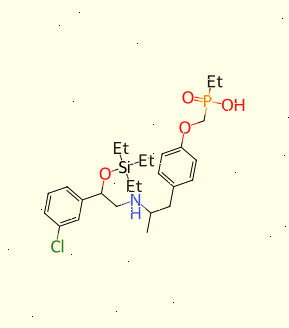 CC[Si](CC)(CC)OC(CNC(C)Cc1ccc(OCP(=O)(O)CC)cc1)c1cccc(Cl)c1